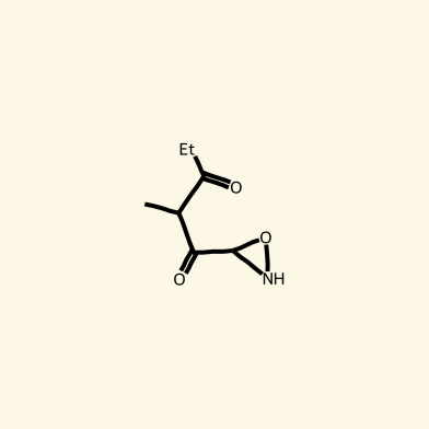 CCC(=O)C(C)C(=O)C1NO1